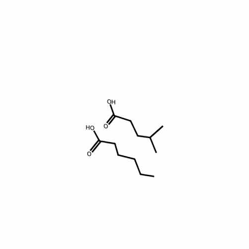 CC(C)CCC(=O)O.CCCCCC(=O)O